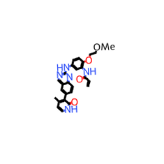 C=CC(=O)Nc1cc(Nc2ncc3cc(-c4c(C)cc[nH]c4=O)ccc3n2)ccc1OCCOC